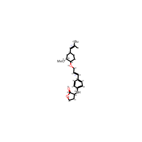 CO[C@@H]1CC(/C=C(\C)C(C)(C)C)CCC1OC/C=C/c1ccc(BC2CCOC2=O)cc1